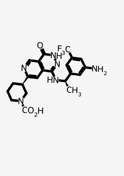 C[C@@H](Nc1n[nH]c(=O)c2cnc([C@@H]3CCCN(C(=O)O)C3)cc12)c1cc(N)cc(C(F)(F)F)c1